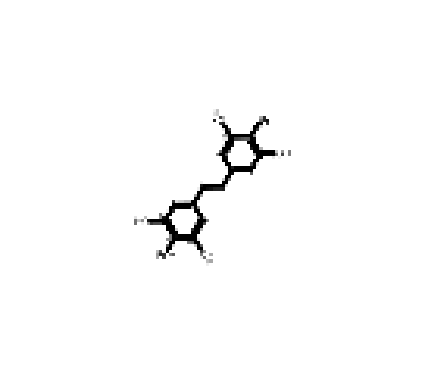 CC(C)c1c(O)cc(CCc2cc(O)c(C(C)C)c(O)c2)cc1O